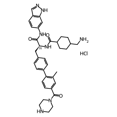 Cc1cc(C(=O)N2CCNCC2)ccc1-c1ccc(C[C@H](NC(=O)C2CCC(CN)CC2)C(=O)Nc2ccc3cn[nH]c3c2)cc1.Cl